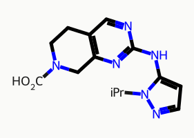 CC(C)n1nccc1Nc1ncc2c(n1)CN(C(=O)O)CC2